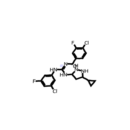 O=C(/N=C(/Nc1cc(F)cc(Cl)c1)NC1CC(C2CC2)NN1)c1ccc(Cl)c(F)c1